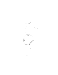 CCOc1ccc(OP(O)(=S)OC)cc1